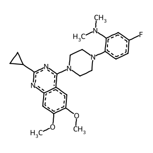 COc1cc2nc(C3CC3)nc(N3CCN(c4ccc(F)cc4N(C)C)CC3)c2cc1OC